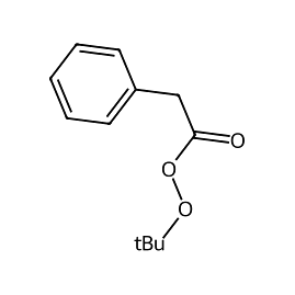 CC(C)(C)OOC(=O)Cc1ccccc1